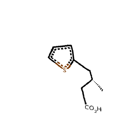 C[C@H](CC(=O)O)Cc1cccs1